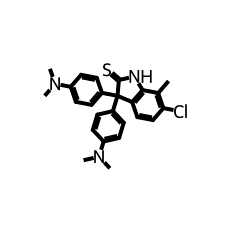 Cc1c(Cl)ccc2c1NC(=S)C2(c1ccc(N(C)C)cc1)c1ccc(N(C)C)cc1